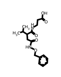 CC(C)C(CC(=O)NOCc1ccccc1)C(=O)NCCC(=O)O